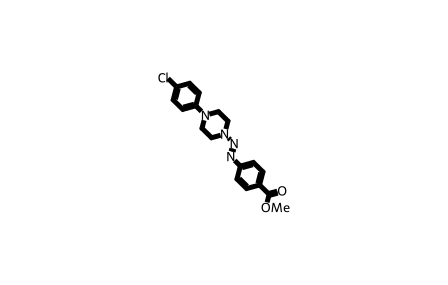 COC(=O)c1ccc(/N=N/N2CCN(c3ccc(Cl)cc3)CC2)cc1